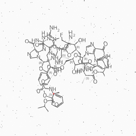 CC(C)OC(=O)[C@H](C)NP(=O)(OC[C@H]1O[C@@H](n2cnc3c(=O)[nH]c(NC(C)OC(=O)[C@H](C)N[P@](=O)(OC[C@H]4O[C@@H](n5cnc6c(=O)[nH]c(NC(C)OC(=O)[C@H](C)N[P@@](=O)(OC[C@H]7O[C@@H](n8cnc9c(=O)[nH]c(N)nc98)[C@@](N)(CF)C7O)Oc7ccccc7)nc65)[C@@](N)(CF)C4O)Oc4ccccc4)nc32)[C@@](N)(CF)C1O)Oc1ccccc1